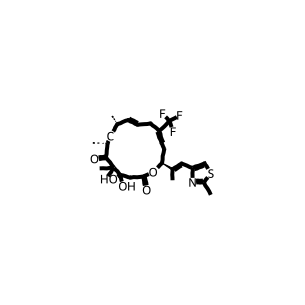 CC(=Cc1csc(C)n1)[C@@H]1C/C=C(\C(F)(F)F)C/C=C/[C@@H](C)C[C@@H](C)C(=O)C(C)(C)C(O)(O)CC(=O)O1